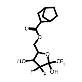 O=C(OCC1OC(O)(C(F)(F)F)C(F)(F)C1O)C1CC2CCC1C2